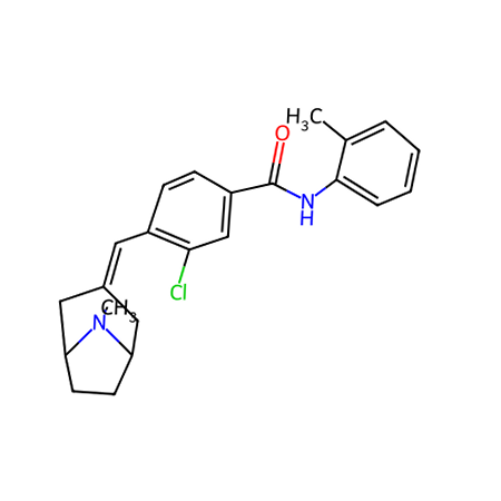 Cc1ccccc1NC(=O)c1ccc(C=C2CC3CCC(C2)N3C)c(Cl)c1